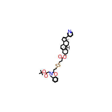 CC(C)(C)OC(=O)CN(Cc1ccccc1)C(=O)CCSSCCC(=O)O[C@H]1CC[C@@]2(C)C(=CCC3C4CC=C(c5cccnc5)[C@@]4(C)CC[C@@H]32)C1